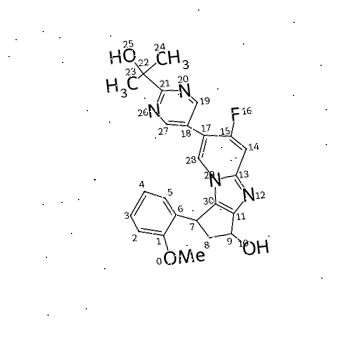 COc1ccccc1C1CC(O)c2nc3cc(F)c(-c4cnc(C(C)(C)O)nc4)cn3c21